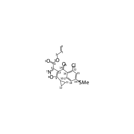 C=CCOC(=O)c1noc(C2CC2)c1C(=O)c1ccc(SC)cc1Cl